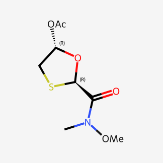 CON(C)C(=O)[C@@H]1O[C@@H](OC(C)=O)CS1